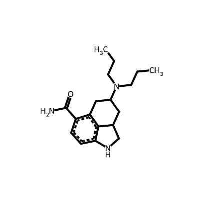 CCCN(CCC)C1Cc2c(C(N)=O)ccc3c2C(CN3)C1